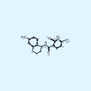 Cc1ccc2c(c1)SCCC2NC(=O)c1ccc(C(F)(F)F)[nH]c1=O